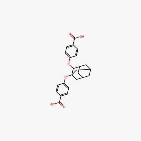 O=C(O)c1ccc(OC2C3CC4CC(C3)CC2(Oc2ccc(C(=O)O)cc2)C4)cc1